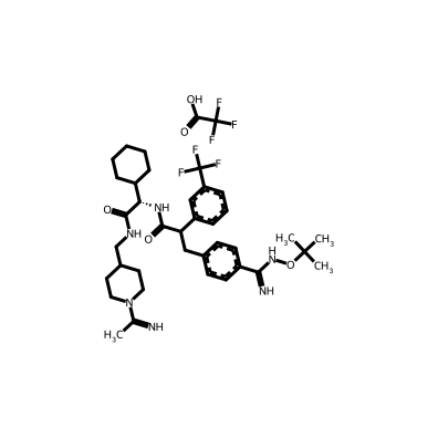 CC(=N)N1CCC(CNC(=O)[C@@H](NC(=O)C(Cc2ccc(C(=N)NOC(C)(C)C)cc2)c2cccc(C(F)(F)F)c2)C2CCCCC2)CC1.O=C(O)C(F)(F)F